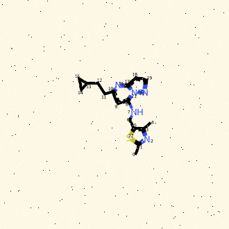 Cc1nc(C)c(CNc2cc(CCC3CC3)nc3ccnn23)s1